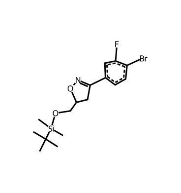 CC(C)(C)[Si](C)(C)OCC1CC(c2ccc(Br)c(F)c2)=NO1